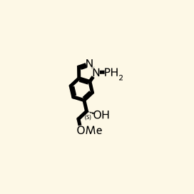 COC[C@@H](O)c1ccc2cnn(P)c2c1